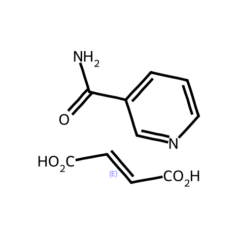 NC(=O)c1cccnc1.O=C(O)/C=C/C(=O)O